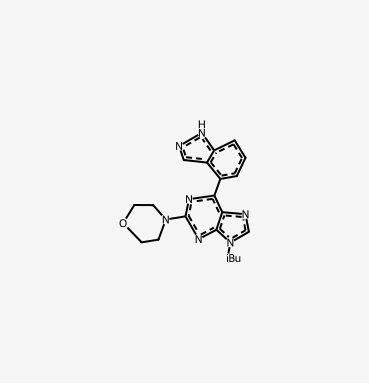 CCC(C)n1cnc2c(-c3cccc4[nH]ncc34)nc(N3CCOCC3)nc21